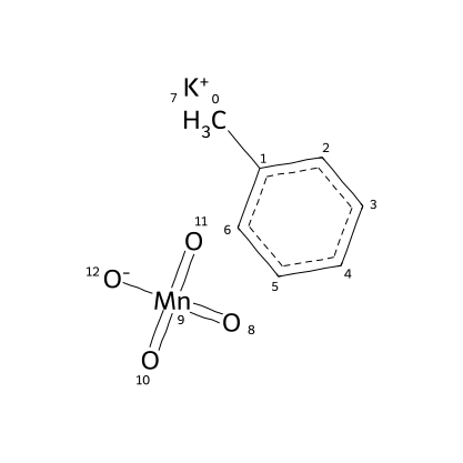 Cc1ccccc1.[K+].[O]=[Mn](=[O])(=[O])[O-]